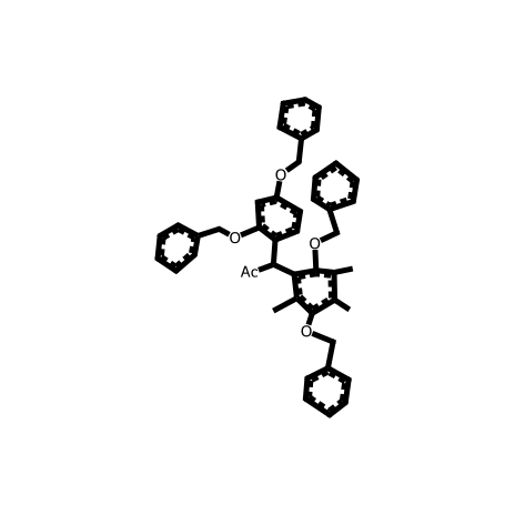 CC(=O)C(c1ccc(OCc2ccccc2)cc1OCc1ccccc1)c1c(C)c(OCc2ccccc2)c(C)c(C)c1OCc1ccccc1